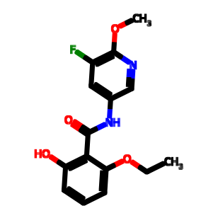 CCOc1cccc(O)c1C(=O)Nc1cnc(OC)c(F)c1